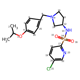 CC(C)Oc1ccc(CN2CC[C@@H](NS(=O)(=O)c3ccc(Cl)cn3)C2)cc1